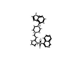 O=S(=O)(c1cncc2ccccc12)N1CCCC1CCN1CCN(c2cccc3sccc23)CC1